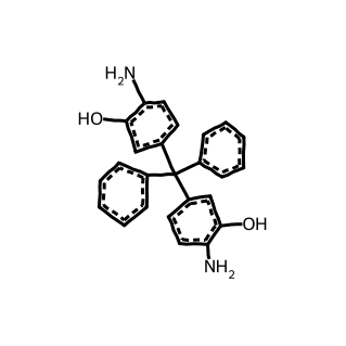 Nc1ccc(C(c2ccccc2)(c2ccccc2)c2ccc(N)c(O)c2)cc1O